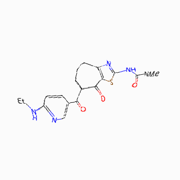 CCNc1ccc(C(=O)C2CCCc3nc(NC(=O)NC)sc3C2=O)cn1